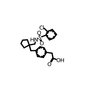 O=C(O)Cc1ccc(CC2(CNS(=O)(=O)c3ccccc3Cl)CCCC2)cc1